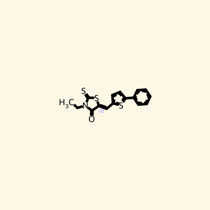 CCN1C(=O)/C(=C/c2ccc(-c3ccccc3)s2)SC1=S